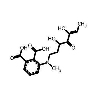 CC=C(O)C(=O)C(O)CCN(C)c1cccc(C(=O)O)c1C(=O)O